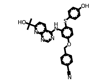 CC(C)(O)c1ccc2c(Nc3cc(OCc4ccc(C#N)cc4)ccc3Sc3ccc(O)cc3)ncnc2n1